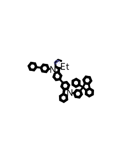 C/C=C\c1c(CC)c2cc(-c3ccc4c(c3)c3ccccc3n4-c3cccc(C4(c5ccccc5)c5ccccc5-c5ccccc54)c3)ccc2n1-c1ccc(-c2ccccc2)cc1